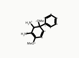 COC1=C(N)C(N)C(OC)(c2ccccc2)C=C1